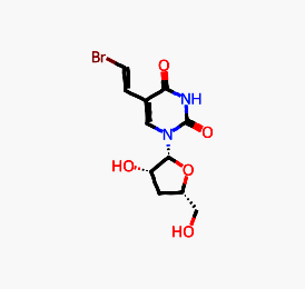 O=c1[nH]c(=O)n([C@@H]2O[C@H](CO)C[C@@H]2O)cc1/C=C/Br